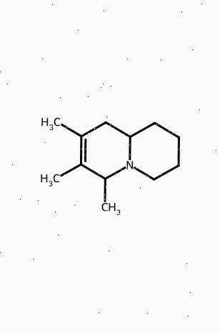 CC1=C(C)C(C)N2CCCCC2C1